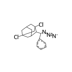 [N-]=[N+]=NC(c1ccccc1)C1C2CC3CC(Cl)(C2)CC1(Cl)C3